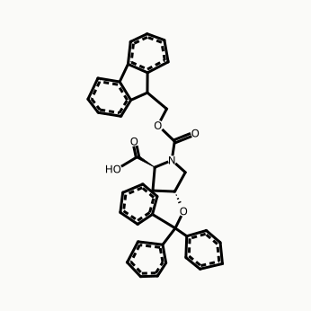 O=C(O)[C@@H]1C[C@@H](OC(c2ccccc2)(c2ccccc2)c2ccccc2)CN1C(=O)OCC1c2ccccc2-c2ccccc21